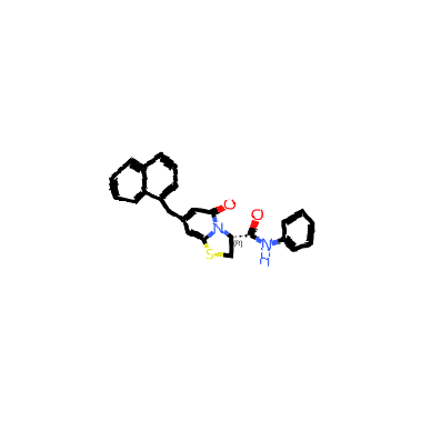 O=C(Nc1ccccc1)[C@@H]1CSc2cc(Cc3cccc4ccccc34)cc(=O)n21